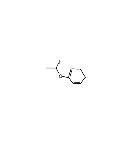 CC(I)OC1=CCCC=C1